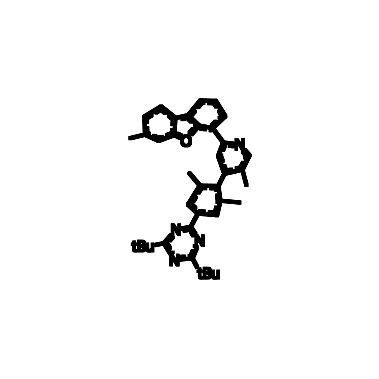 Cc1ccc2c(c1)oc1c(-c3cc(-c4c(C)cc(-c5nc(C(C)(C)C)nc(C(C)(C)C)n5)cc4C)c(C)cn3)cccc12